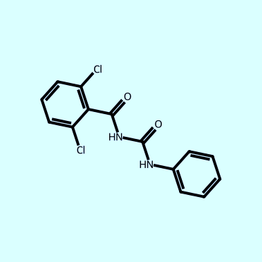 O=C(NC(=O)c1c(Cl)cccc1Cl)Nc1ccccc1